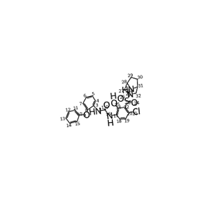 O=C(Nc1ccccc1Oc1ccccc1)Nc1ccc(Cl)c(S(=O)(=O)N2CC3CCC(C2)N3)c1O